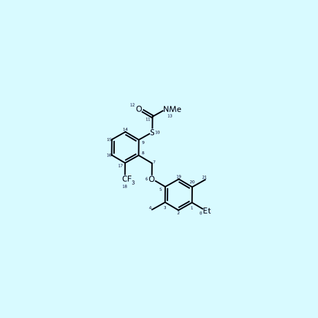 CCc1cc(C)c(OCc2c(SC(=O)NC)cccc2C(F)(F)F)cc1C